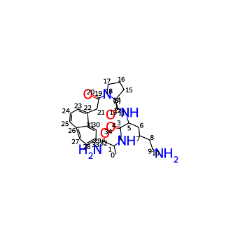 CC(NC(=O)C(CCCCN)NC(=O)[C@@H]1CCCN1C(=O)Cc1cccc2ccccc12)C(N)=O